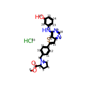 COC(=O)C1CCCN1Cc1ccc(-c2cc3ncnc(Nc4cccc(O)c4)c3s2)cc1.Cl